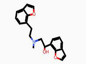 CN(CCc1cccc2ccoc12)CC(O)c1cccc2ccoc12